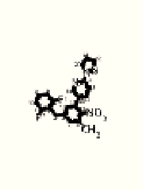 Cc1[c]c(Cc2c(F)cccc2F)cc(-c2ccc(-n3cccn3)nc2)c1[N+](=O)[O-]